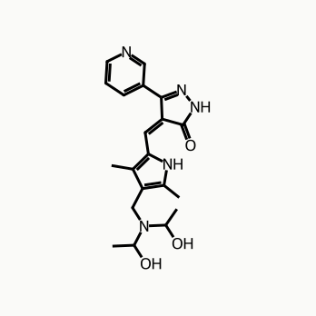 Cc1[nH]c(C=C2C(=O)NN=C2c2cccnc2)c(C)c1CN(C(C)O)C(C)O